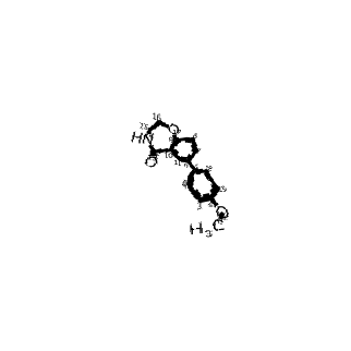 COc1ccc(-c2ccc3c(c2)C(=O)NCCO3)cc1